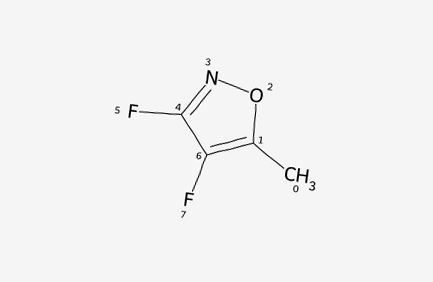 Cc1onc(F)c1F